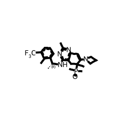 Cc1nc2c(c(N[C@H](C)c3cccc(C(F)(F)F)c3C)n1)CC(C)(P(C)(C)=O)C(N1CCC1)=C2